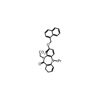 CCCN1C2=C(CCC=C2)C(=O)N(CC(=O)O)c2cc(OCc3cccc4ccccc34)ccc21